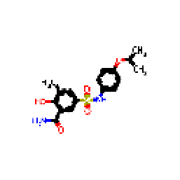 Cc1cc(S(=O)(=O)Nc2ccc(OC(C)C)cc2)cc(C(N)=O)c1O